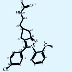 COc1ccccc1-n1nc2c(c1-c1ccc(Cl)cc1)CC(CCNC(C)=O)C2